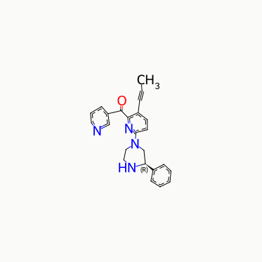 CC#Cc1ccc(N2CCN[C@H](c3ccccc3)C2)nc1C(=O)c1cccnc1